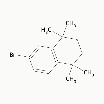 CC1(C)CCC(C)(C)c2cc(Br)ccc21